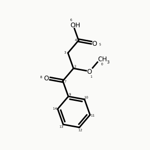 COC(CC(=O)O)C(=O)c1ccccc1